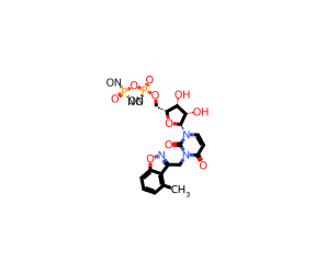 Cc1cccc2onc(Cn3c(=O)ccn([C@@H]4O[C@H](COP(=O)(N=O)OP(=O)(N=O)N=O)[C@H](O)[C@@H]4O)c3=O)c12